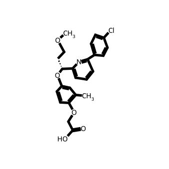 COCC[C@@H](Oc1ccc(OCC(=O)O)c(C)c1)c1cccc(-c2ccc(Cl)cc2)n1